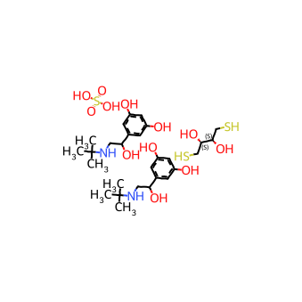 CC(C)(C)NCC(O)c1cc(O)cc(O)c1.CC(C)(C)NCC(O)c1cc(O)cc(O)c1.O=S(=O)(O)O.O[C@H](CS)[C@H](O)CS